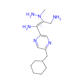 CN(N)/C(CN)=C(\N)c1cnc(CC2CCCCC2)cn1